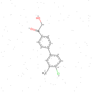 Cc1cc(-c2ccc(C(=O)CO)cc2)ccc1Cl